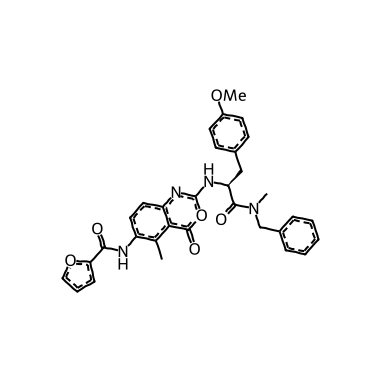 COc1ccc(C[C@H](Nc2nc3ccc(NC(=O)c4ccco4)c(C)c3c(=O)o2)C(=O)N(C)Cc2ccccc2)cc1